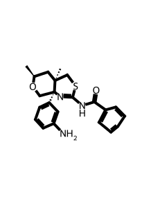 C[C@H]1C[C@@]2(C)CSC(NC(=O)c3ccccc3)=N[C@@]2(c2cccc(N)c2)CO1